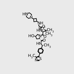 Cc1ncsc1-c1ccc([C@@H](C)NC(=O)[C@@H]2C[C@@H](O)CN2C(=O)[C@@H](NC(=O)CNC2CC(N3CCNCC3)C2)C(C)(C)C)cc1